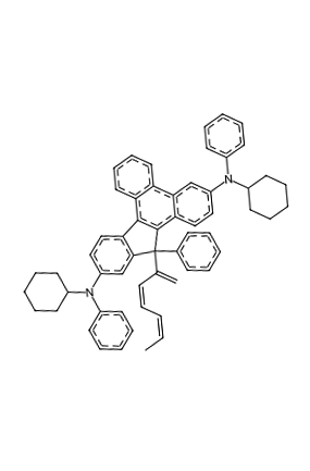 C=C(/C=C\C=C/C)C1(c2ccccc2)c2cc(N(c3ccccc3)C3CCCCC3)ccc2-c2c1c1ccc(N(c3ccccc3)C3CCCCC3)cc1c1ccccc21